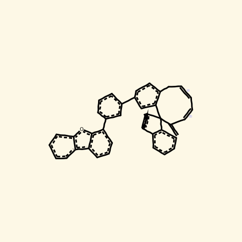 C=C1/C=C\C=C/Cc2ccc(-c3cccc(-c4cccc5c4oc4ccccc45)c3)cc2C12c1ccccc1-c1ccccc12